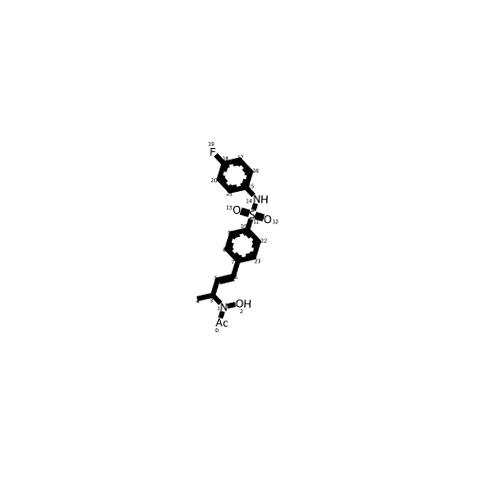 CC(=O)N(O)C(C)C=Cc1ccc(S(=O)(=O)Nc2ccc(F)cc2)cc1